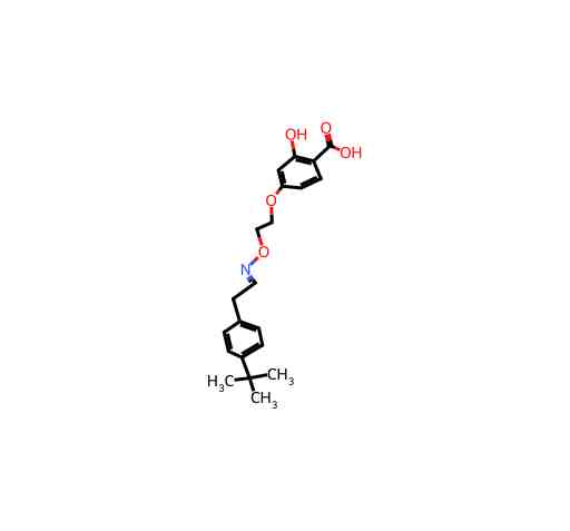 CC(C)(C)c1ccc(C/C=N/OCCOc2ccc(C(=O)O)c(O)c2)cc1